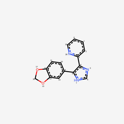 c1ccc(-c2nc[nH]c2-c2ccc3c(c2)OCO3)nc1